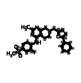 Cc1nc2c(c(Nc3ccc(S(C)(=O)=O)cc3F)n1)CCN(Cc1nnc(-c3ccccc3)o1)C2